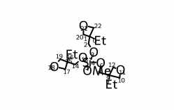 CCC1(CO[Si](OC)(OCC2(CC)COC2)OCC2(CC)COC2)COC1